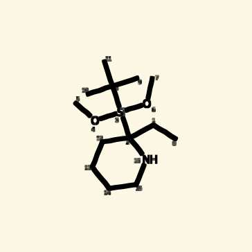 CCC1([Si](OC)(OC)C(C)(C)C)CCCCN1